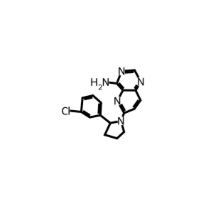 Nc1ncnc2ccc(N3CCCC3c3cccc(Cl)c3)nc12